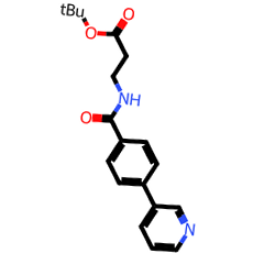 CC(C)(C)OC(=O)CCNC(=O)c1ccc(-c2cccnc2)cc1